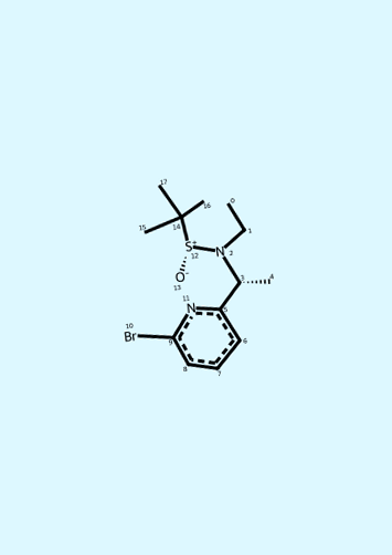 CCN([C@H](C)c1cccc(Br)n1)[S@+]([O-])C(C)(C)C